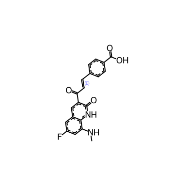 CNc1cc(F)cc2cc(C(=O)/C=C/c3ccc(C(=O)O)cc3)c(=O)[nH]c12